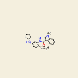 CC(=O)n1cc(C(=O)Nc2cc(NC3CCCC3)ccc2C(=O)O)c2ccccc21